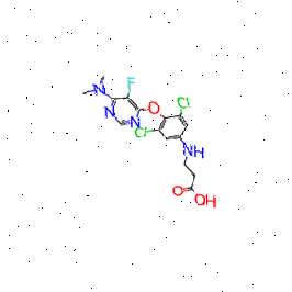 CN(C)c1ncnc(Oc2c(Cl)cc(NCCC(=O)O)cc2Cl)c1F